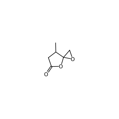 CC1CC(=O)OC12CO2